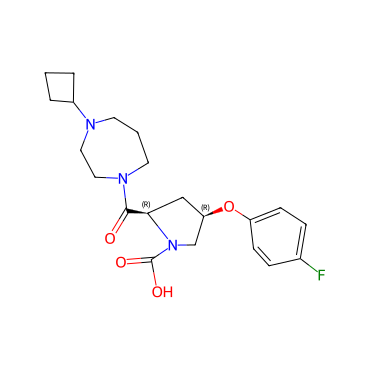 O=C([C@H]1C[C@@H](Oc2ccc(F)cc2)CN1C(=O)O)N1CCCN(C2CCC2)CC1